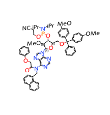 COc1ccc(C(OC[C@H]2O[C@@H](n3cnc4c(N(Cc5cccc6ccccc56)C(=O)COc5ccccc5)ncnc43)[C@@H](OC)C2OP(OCCC#N)N(C(C)C)C(C)C)(c2ccccc2)c2ccc(OC)cc2)cc1